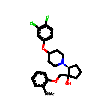 CC(=O)Nc1ccccc1OC[C@@]1(O)CCC[C@H]1N1CCC(Oc2ccc(Cl)c(Cl)c2)CC1